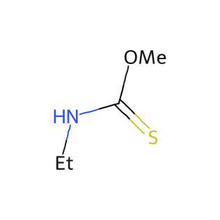 [CH2]OC(=S)NCC